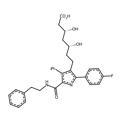 CC(C)n1c(C(=O)NCCc2ccccc2)nc(-c2ccc(F)cc2)c1CC[C@@H](O)C[C@@H](O)CC(=O)O